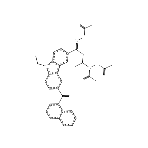 CCn1c2ccc(C(=O)c3cccc4ccccc34)cc2c2cc(/C(CC(C)N(OC(C)=O)C(C)=O)=N/OC(C)=O)ccc21